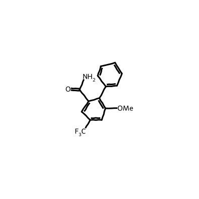 COc1cc(C(F)(F)F)cc(C(N)=O)c1-c1ccccc1